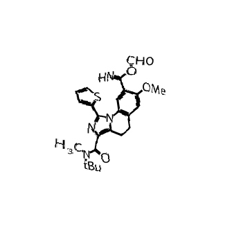 COc1cc2c(cc1C(=N)OC=O)-n1c(-c3cccs3)nc(C(=O)N(C)C(C)(C)C)c1CC2